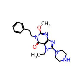 CCn1c(N2CCNCC2)nc2nc(OC)n(CCc3ccccc3)c(=O)c21